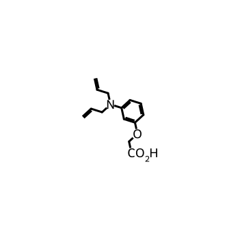 C=CCN(CC=C)c1cccc(OCC(=O)O)c1